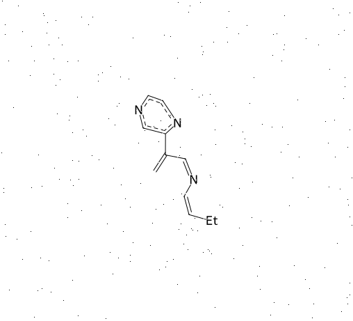 C=C(/C=N\C=C/CC)c1cnccn1